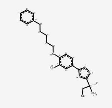 C[C@](N)(CO)c1nnc(-c2ccc(OCCCCCc3ccccc3)c(C(F)(F)F)c2)s1